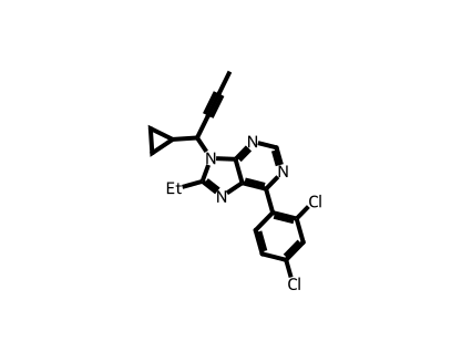 CC#CC(C1CC1)n1c(CC)nc2c(-c3ccc(Cl)cc3Cl)ncnc21